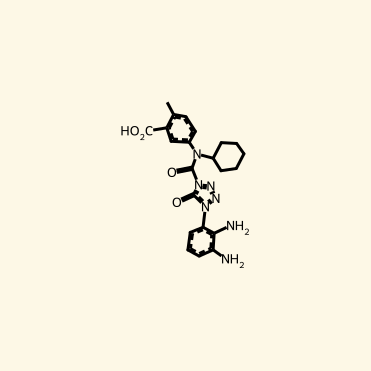 Cc1ccc(N(C(=O)n2nnn(-c3cccc(N)c3N)c2=O)C2CCCCC2)cc1C(=O)O